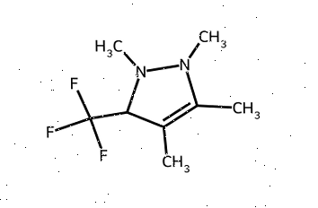 CC1=C(C)N(C)N(C)C1C(F)(F)F